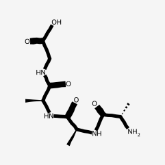 C[C@H](N)C(=O)N[C@@H](C)C(=O)N[C@@H](C)C(=O)NCC(=O)O